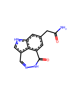 NC(=O)Cc1cc2c3c(c[nH]c3c1)C=NNC2=O